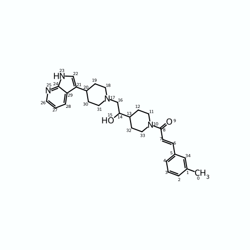 Cc1cccc(C=CC(=O)N2CCC(C(O)CN3CCC(c4c[nH]c5ncccc45)CC3)CC2)c1